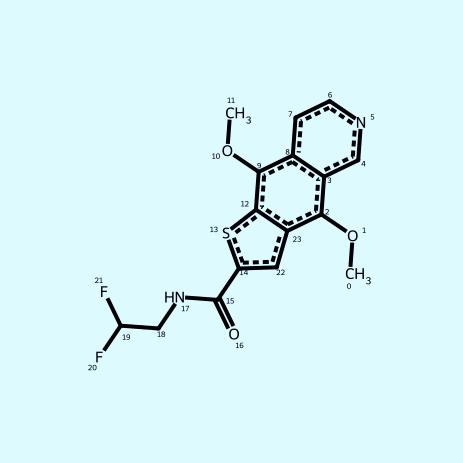 COc1c2cnccc2c(OC)c2sc(C(=O)NCC(F)F)cc12